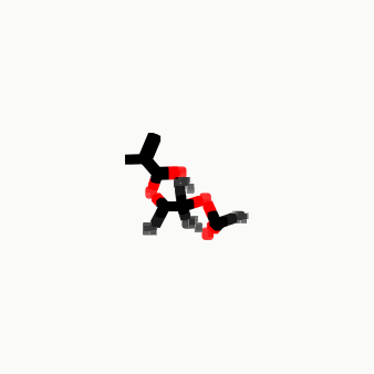 C=C(C)C(=O)OC(CC)C(OC(=O)C(C)C)(C(F)(F)F)C(F)(F)F